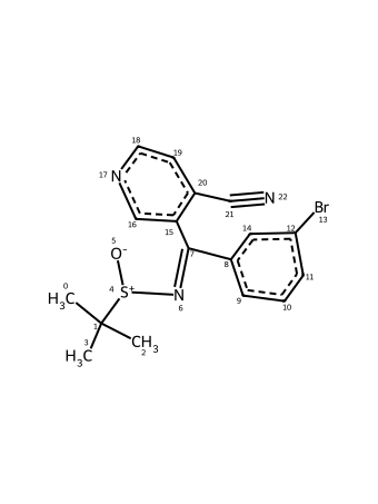 CC(C)(C)[S+]([O-])N=C(c1cccc(Br)c1)c1cnccc1C#N